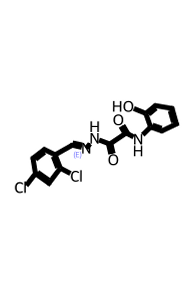 O=C(N/N=C/c1ccc(Cl)cc1Cl)C(=O)Nc1ccccc1O